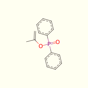 C=C(C)OP(=O)(c1ccccc1)c1ccccc1